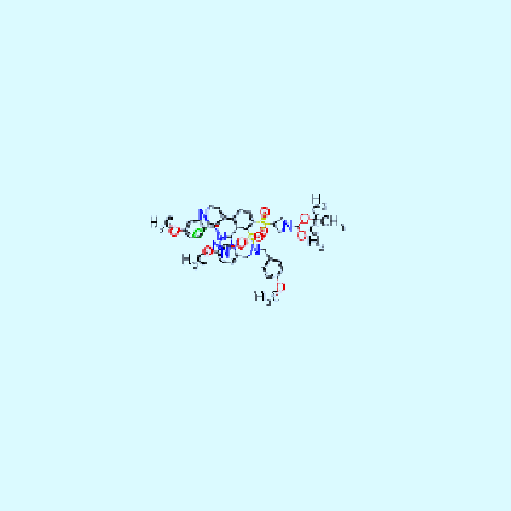 COc1ccc(CN(Cc2ccc(OC)cc2)S(=O)(=O)c2c(S(=O)(=O)C3CN(C(=O)OC(C)(C)C)C3)ccc(-c3ccnc(Cl)c3)c2-c2nnnn2Cc2ccc(OC)cc2)cc1